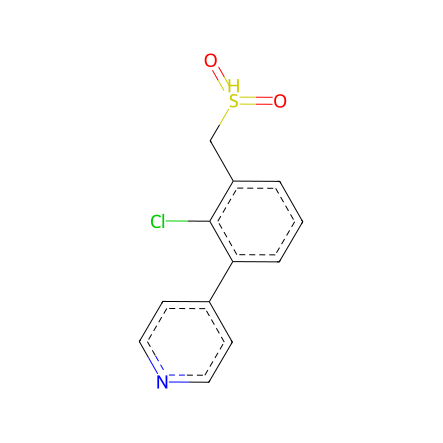 O=[SH](=O)Cc1cccc(-c2ccncc2)c1Cl